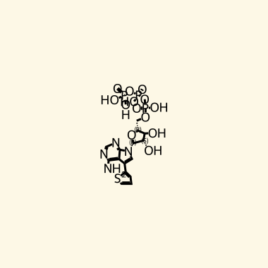 Nc1ncnc2c1c(-c1cccs1)cn2[C@@H]1O[C@H](COP(=O)(O)OP(=O)(O)OP(=O)(O)O)C(O)[C@@H]1O